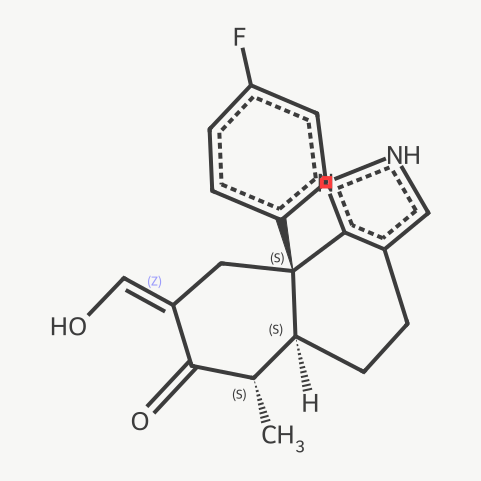 C[C@@H]1C(=O)/C(=C\O)C[C@]2(c3ccc(F)cc3)c3n[nH]cc3CC[C@@H]12